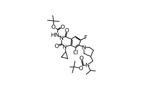 CC(C)N(CC1CCN(c2c(F)cc3c(=O)n(NC(=O)OC(C)(C)C)c(=O)n(C4CC4)c3c2Cl)C1)C(=O)OC(C)(C)C